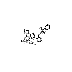 CCC1c2nncn2-c2cnc(-c3ccncc3CNC(=O)c3ccccc3)nc2N1C(C)C